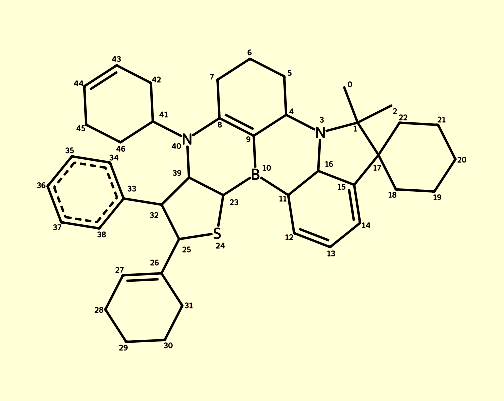 CC1(C)N2C3CCCC4=C3B(C3C=CC=C(C32)C12CCCCC2)C1SC(C2=CCCCC2)C(c2ccccc2)C1N4C1CC=CCC1